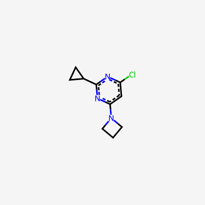 Clc1cc(N2CCC2)nc(C2CC2)n1